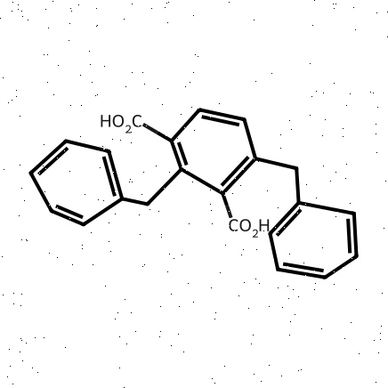 O=C(O)c1ccc(Cc2ccccc2)c(C(=O)O)c1Cc1ccccc1